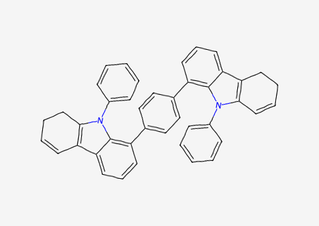 C1=Cc2c(c3cccc(-c4ccc(-c5cccc6c7c(n(-c8ccccc8)c56)CCC=C7)cc4)c3n2-c2ccccc2)CC1